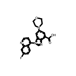 O=C(O)c1cc(N2CCOCC2)cc2c1ncn2-c1ccnc2cc(F)ccc12